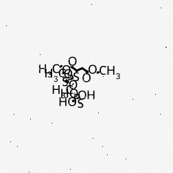 CCOC(=O)CC(SP(=S)(OC)OC)C(=O)OCC.OP(O)(O)=S